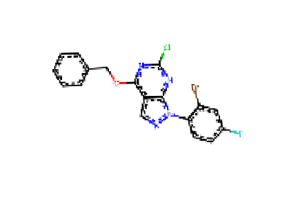 Fc1ccc(-n2ncc3c(OCc4ccccc4)nc(Cl)nc32)c(Br)c1